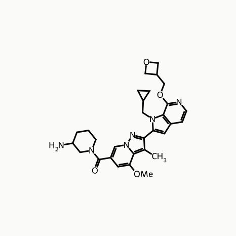 COc1cc(C(=O)N2CCCC(N)C2)cn2nc(-c3cc4ccnc(OCC5COC5)c4n3CC3CC3)c(C)c12